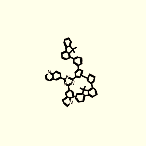 CC1(C)c2ccccc2-c2cccc(-c3cccc(-c4cc(-c5cccc(-c6cccc7c6C(C)(C)c6ccccc6-7)c5)cc(-c5nc(-c6ccc7ncccc7c6)nc(-c6ccc7ncccc7c6)n5)c4)c3)c21